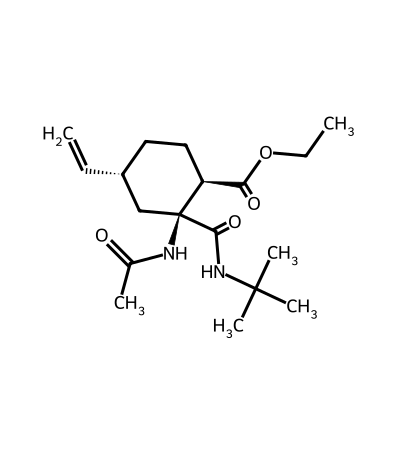 C=C[C@@H]1CC[C@@H](C(=O)OCC)[C@](NC(C)=O)(C(=O)NC(C)(C)C)C1